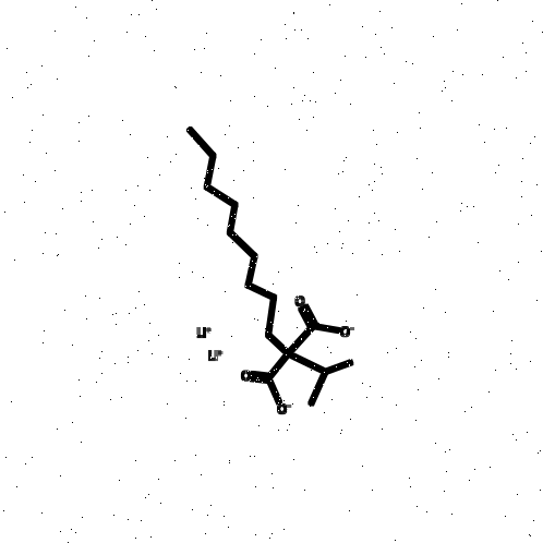 CCCCCCCCCC(C(=O)[O-])(C(=O)[O-])C(C)C.[Li+].[Li+]